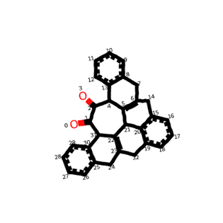 O=C1C(=O)C2C3=C(Cc4ccccc42)Cc2cccc4c2C3C2=C(Cc3ccccc3C12)C4